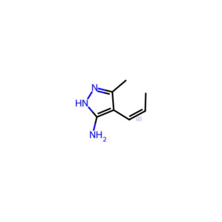 C/C=C\c1c(C)n[nH]c1N